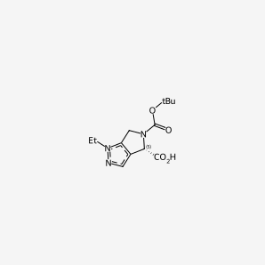 CCn1ncc2c1CN(C(=O)OC(C)(C)C)[C@@H]2C(=O)O